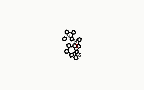 c1ccc(-c2ccccc2N(c2ccc3c(c2)-c2ccccc2-c2ccccc2N3c2ccccc2)c2ccc3c(c2)c2ccccc2c2ccccc2c2ccccc2c2c3ccc3sc4ccccc4c32)cc1